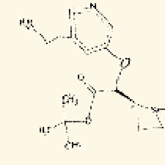 CC(C)(C)OC(=O)C(Oc1cncc(CN)c1)[C@@H]1CCN1